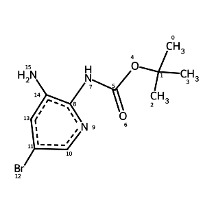 CC(C)(C)OC(=O)Nc1ncc(Br)cc1N